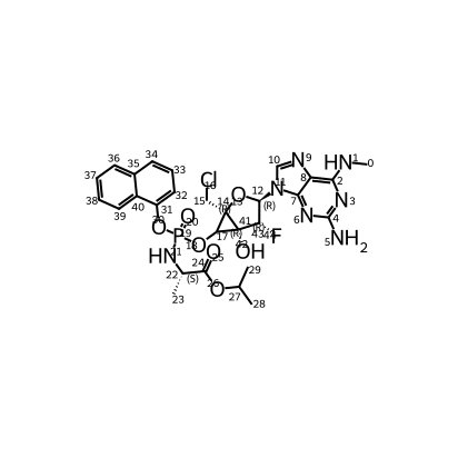 CNc1nc(N)nc2c1ncn2[C@@H]1O[C@]2(CCl)C(OP(=O)(N[C@@H](C)C(=O)OC(C)C)Oc3cccc4ccccc34)[C@]2(O)[C@H]1F